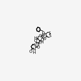 C[C@@]1(F)[C@@H]2OP(=O)(O[C@H]3CSSCC3OCc3ccccc3)OC[C@H]2O[C@H]1n1ccc(=O)[nH]c1=O